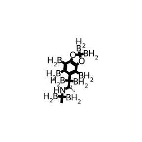 Bc1c(B)c(C(B)(B)[C@H](C)NC(B)(B)C)c(B)c2c1OC(B)(B)O2